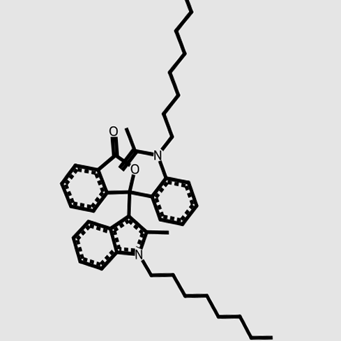 C=C(C)N(CCCCCCCC)c1ccccc1C1(c2c(C)n(CCCCCCCC)c3ccccc23)OC(=O)c2ccccc21